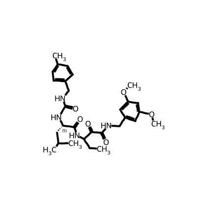 CCC(NC(=O)[C@H](CC(C)C)NC(=O)NCc1ccc(C)cc1)C(=O)C(=O)NCc1cc(OC)cc(OC)c1